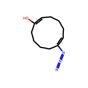 [N-]=[N+]=N/C1=C/CCC/C=C(/O)CCCC1